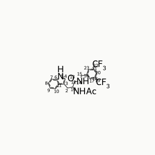 CC(=O)NC(Cc1c[nH]c2ccccc12)C(=O)NCc1cc(C(F)(F)F)cc(C(F)(F)F)c1